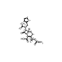 CC(=O)N(Cc1cccs1)[C@@H]1C(=O)N2C(C(=O)O)=C(C(C)OC(N)=O)CS[C@@H]12